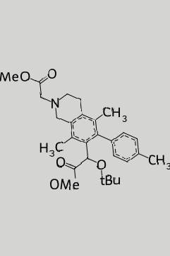 COC(=O)CN1CCc2c(C)c(-c3ccc(C)cc3)c(C(OC(C)(C)C)C(=O)OC)c(C)c2C1